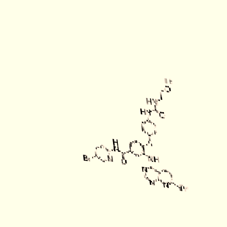 CCOCCNC(=O)Nc1ccc(Sc2ccc(C(=O)Nc3ccc(Br)cn3)cc2Nc2ncnc3nc(C(C)C)ccc23)cc1